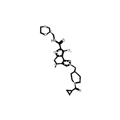 C[C@H]1Cc2oc(C(=O)NC[C@@H]3COCCO3)c(C(F)(F)F)c2-c2nn(CC3CCN(C(=O)C4CC4)CC3)cc21